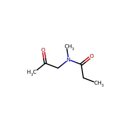 CCC(=O)N(C)CC(C)=O